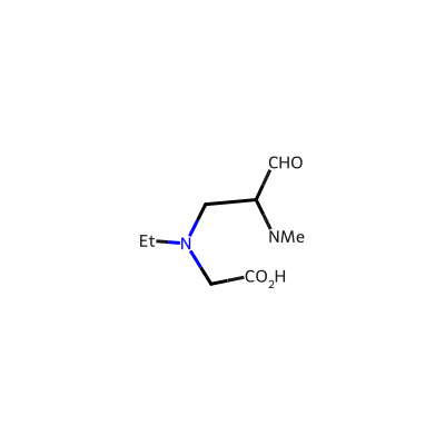 CCN(CC(=O)O)CC(C=O)NC